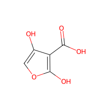 O=C(O)c1c(O)coc1O